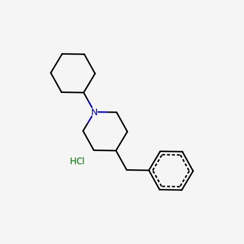 Cl.c1ccc(CC2CCN(C3CCCCC3)CC2)cc1